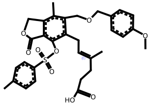 COc1ccc(COCc2c(C)c3c(c(OS(=O)(=O)c4ccc(C)cc4)c2C/C=C(\C)CCC(=O)O)C(=O)OC3)cc1